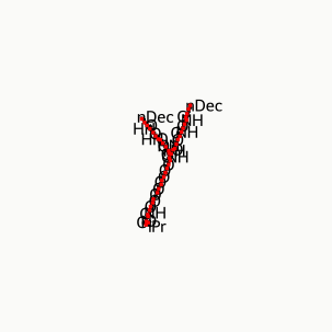 CCCCCCCCCCCCCCCC(=O)NCCOCCNC(=O)CCOCCNC(=O)CC[C@H](NC(=O)CCOCCOCCOCCOCCOCCOCCOCCOCCNC(=O)CCN1C(=O)CC(C(C)C)C1=O)C(=O)NCCOCCC(=O)NCCOCCNC(=O)CCCCCCCCCCCCCCC